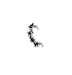 CC(N)CC(C)(C)OCN(C)CC(C)(C)OCCC(C)(C)C(C)(C)OCC(C)C(C)(C)N